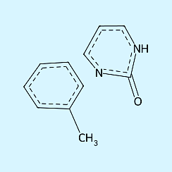 Cc1ccccc1.O=c1nccc[nH]1